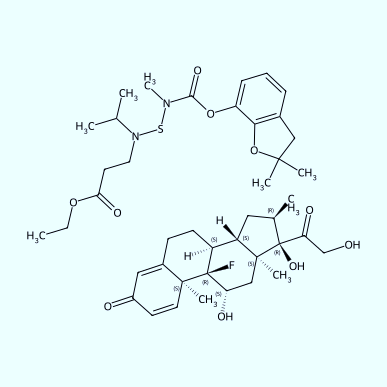 CCOC(=O)CCN(SN(C)C(=O)Oc1cccc2c1OC(C)(C)C2)C(C)C.C[C@@H]1C[C@H]2[C@@H]3CCC4=CC(=O)C=C[C@]4(C)[C@@]3(F)[C@@H](O)C[C@]2(C)[C@@]1(O)C(=O)CO